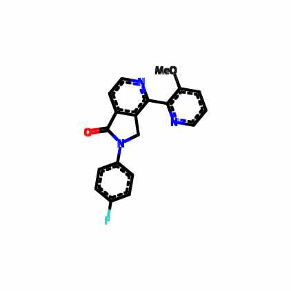 COc1cccnc1-c1nccc2c1CN(c1ccc(F)cc1)C2=O